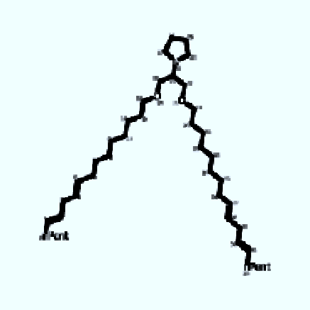 CCCCCC=CCC=CCCCCCCCCOCC(COCCCCCCCCC=CCC=CCCCCC)N1CCCC1